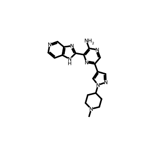 CN1CCC(n2cc(-c3cnc(N)c(-c4nc5cnccc5[nH]4)n3)cn2)CC1